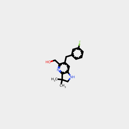 CC1(C)CNc2cc(Cc3cccc(F)c3)c(CO)nc21